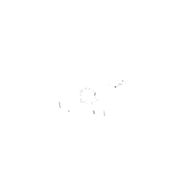 CCCCNC(=N)Nc1ccc(C(=O)O)cc1.Cl